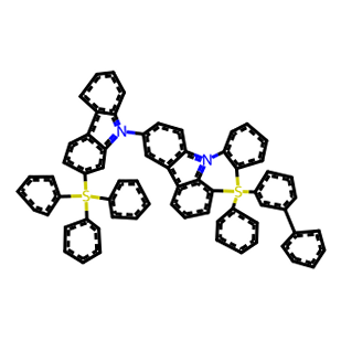 c1ccc(-c2cccc(S3(c4ccccc4)c4ccccc4-n4c5ccc(-n6c7ccccc7c7ccc(S(c8ccccc8)(c8ccccc8)c8ccccc8)cc76)cc5c5cccc3c54)c2)cc1